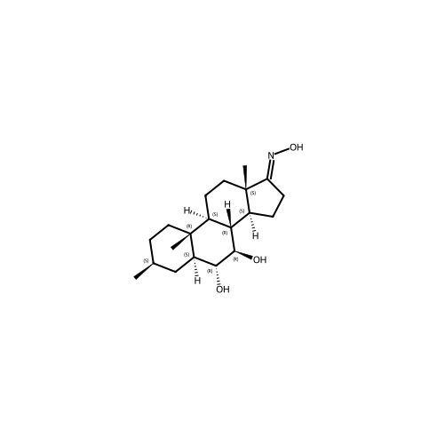 C[C@H]1CC[C@@]2(C)[C@H](C1)[C@@H](O)[C@H](O)[C@@H]1[C@@H]2CC[C@]2(C)C(=NO)CC[C@@H]12